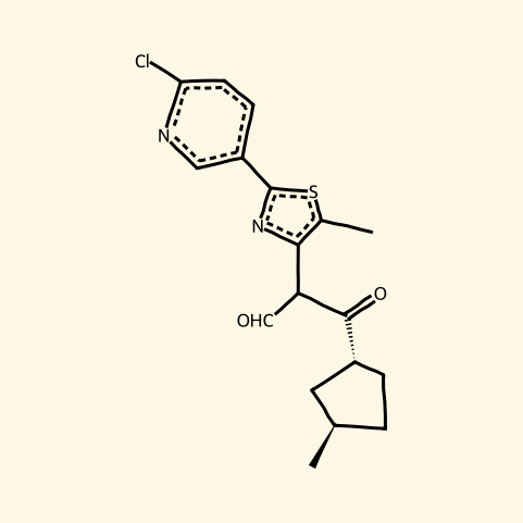 Cc1sc(-c2ccc(Cl)nc2)nc1C(C=O)C(=O)[C@@H]1CC[C@@H](C)C1